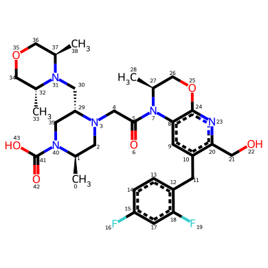 C[C@@H]1CN(CC(=O)N2c3cc(Cc4ccc(F)cc4F)c(CO)nc3OC[C@@H]2C)[C@@H](CN2[C@H](C)COC[C@H]2C)CN1C(=O)O